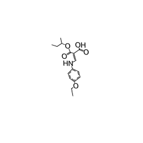 CCOc1ccc(NC=C(C(=O)O)C(=O)OC(C)CC)cc1